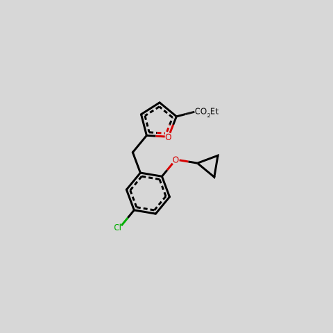 CCOC(=O)c1ccc(Cc2cc(Cl)ccc2OC2CC2)o1